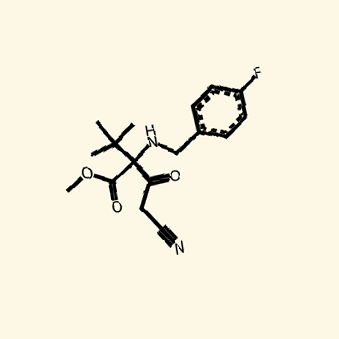 COC(=O)C(NCc1ccc(F)cc1)(C(=O)CC#N)C(C)(C)C